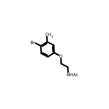 CC(=O)NCCOc1ccc(Br)c(C)c1